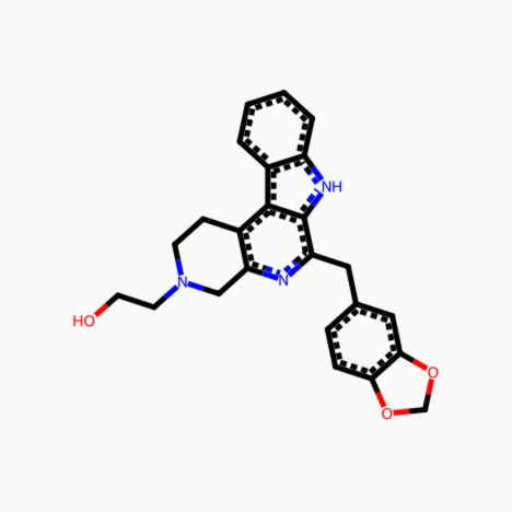 OCCN1CCc2c(nc(Cc3ccc4c(c3)OCO4)c3[nH]c4ccccc4c23)C1